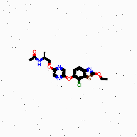 CCOc1nc2ccc(Oc3cnc(OC[C@H](C)NC(C)=O)cn3)c(Cl)c2s1